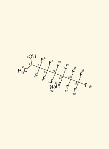 CC(O)C(F)(F)C(F)(F)C(F)(F)C(F)(F)C(F)(F)C(F)(F)F.[NaH]